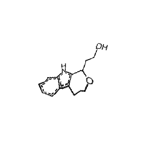 OCCC1OCCc2c1[nH]c1ccccc21